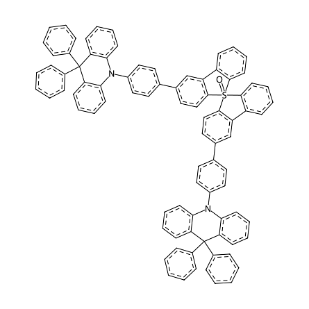 O=S12(c3ccccc3-c3cc(-c4ccc(N5c6ccccc6C(c6ccccc6)(c6ccccc6)c6ccccc65)cc4)ccc31)c1ccccc1-c1cc(-c3ccc(N4c5ccccc5C(c5ccccc5)(c5ccccc5)c5ccccc54)cc3)ccc12